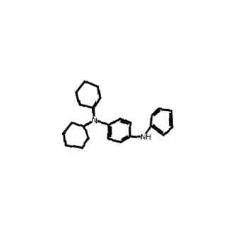 c1ccc(Nc2ccc(N(C3CCCCC3)C3CCCCC3)cc2)cc1